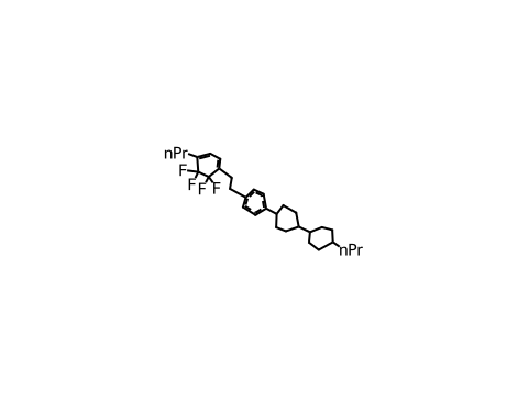 CCCC1=CC=C(CCc2ccc(C3CCC(C4CCC(CCC)CC4)CC3)cc2)C(F)(F)C1(F)F